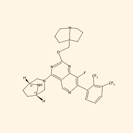 Fc1c(-c2cccc(C(F)(F)F)c2C(F)(F)F)ncc2c(N3C[C@H]4CC[C@@H](C3)N4)nc(OCC34CCCN3CCC4)nc12